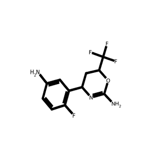 NC1=NC(c2cc(N)ccc2F)CC(C(F)(F)F)O1